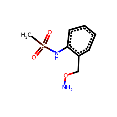 CS(=O)(=O)Nc1ccccc1CON